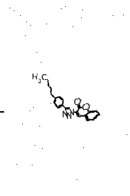 CCCCCc1ccc(-c2cn(-c3cc4ccccc4oc3=O)nn2)cc1